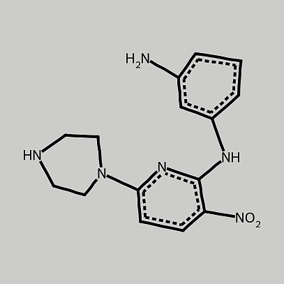 Nc1cccc(Nc2nc(N3CCNCC3)ccc2[N+](=O)[O-])c1